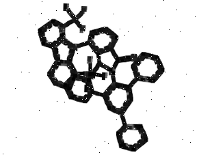 O=C1c2cccc(-n3c4c(C(F)(F)F)cccc4c4cccc(C(F)(F)F)c43)c2C(O)N1c1c(-c2ccccc2)cc(-c2ccccc2)cc1-c1ccccc1